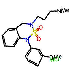 CNCCCN1Cc2ccccc2N(c2cccc(OC)c2)S1(=O)=O.Cl